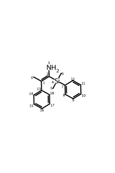 CC(=C(N)[Si](C)(C)c1ccccc1)c1ccccc1